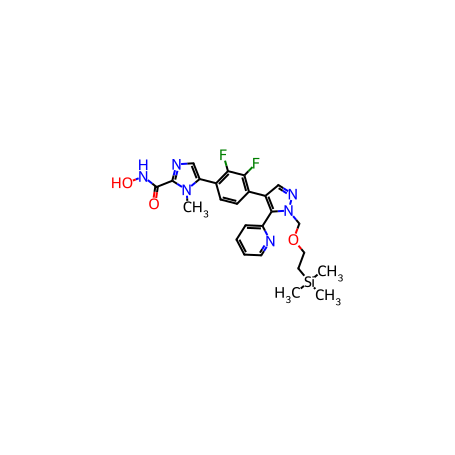 Cn1c(-c2ccc(-c3cnn(COCC[Si](C)(C)C)c3-c3ccccn3)c(F)c2F)cnc1C(=O)NO